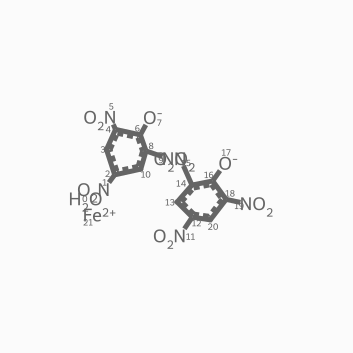 O.O=[N+]([O-])c1cc([N+](=O)[O-])c([O-])c([N+](=O)[O-])c1.O=[N+]([O-])c1cc([N+](=O)[O-])c([O-])c([N+](=O)[O-])c1.[Fe+2]